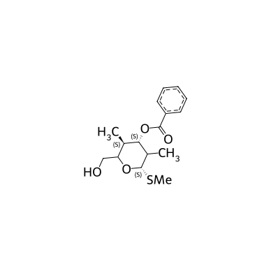 CS[C@@H]1OC(CO)[C@@H](C)[C@H](OC(=O)c2ccccc2)C1C